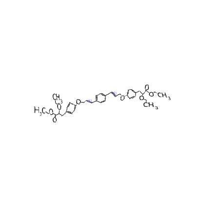 CCOC(=O)C(Cc1ccc(OC/C=C/c2ccc(/C=C/COc3ccc(CC(OCC)C(=O)OCC)cc3)cc2)cc1)OCC